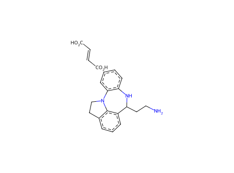 NCCC1Nc2ccccc2N2CCc3cccc1c32.O=C(O)C=CC(=O)O